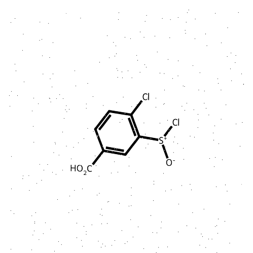 O=C(O)c1ccc(Cl)c([S+]([O-])Cl)c1